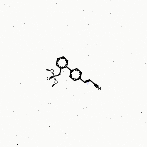 COP(=O)(Cc1ccccc1-c1ccc(/C=C/C#N)cc1)OC